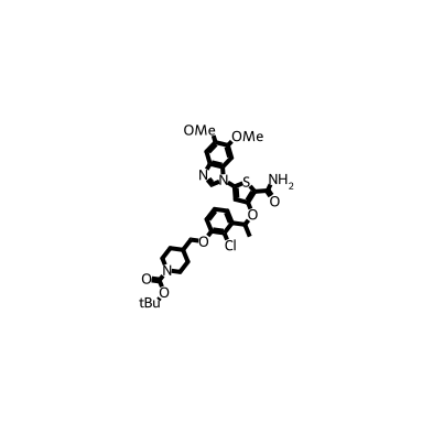 COc1cc2ncn(-c3cc(OC(C)c4cccc(OCC5CCN(C(=O)OC(C)(C)C)CC5)c4Cl)c(C(N)=O)s3)c2cc1OC